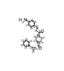 Nc1ccc(SCC(=O)N2CCN(C(=O)[C@@H]3C[C@H]3c3ccccc3)CC2)cc1